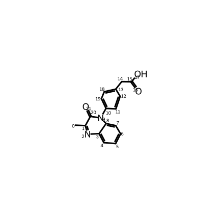 Cc1nc2ccccc2n(-c2ccc(CC(=O)O)cc2)c1=O